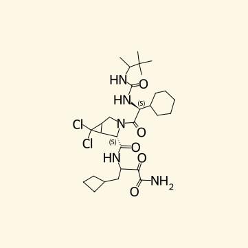 CC(NC(=O)N[C@H](C(=O)N1CC2C([C@H]1C(=O)NC(CC1CCC1)C(=O)C(N)=O)C2(Cl)Cl)C1CCCCC1)C(C)(C)C